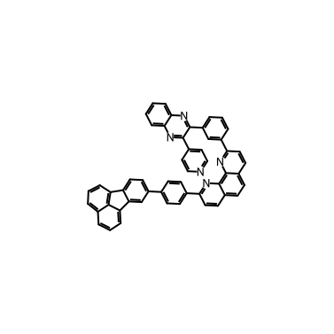 c1cc(-c2ccc3ccc4ccc(-c5ccc(-c6ccc7c(c6)-c6cccc8cccc-7c68)cc5)nc4c3n2)cc(-c2nc3ccccc3nc2-c2ccncc2)c1